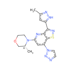 Cc1cc(-c2nsc3c(-n4ccnn4)cc(N4CCOC[C@H]4C)nc23)[nH]n1